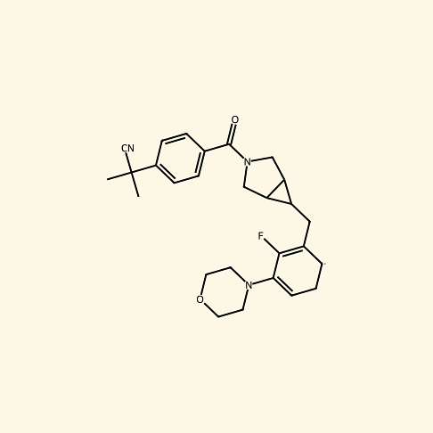 CC(C)(C#N)c1ccc(C(=O)N2CC3C(CC4=C(F)C(N5CCOCC5)=CC[CH]4)C3C2)cc1